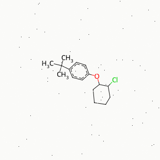 CC(C)(C)c1ccc(OC2CCCCC2Cl)cc1